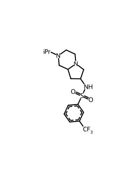 CC(C)N1CCN2CC(NS(=O)(=O)c3cccc(C(F)(F)F)c3)CC2C1